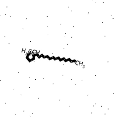 CCCCCCCCCCCCCCCCC1C[CH]CC[N+]1(C)C